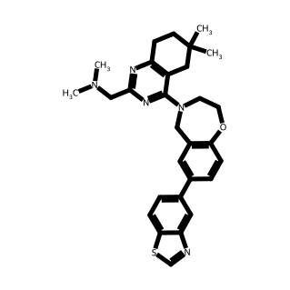 CN(C)Cc1nc2c(c(N3CCOc4ccc(-c5ccc6scnc6c5)cc4C3)n1)CC(C)(C)CC2